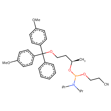 COc1ccc(C(OCC[C@@H](C)OP(OCCC#N)N(C(C)C)C(C)C)(c2ccccc2)c2ccc(OC)cc2)cc1